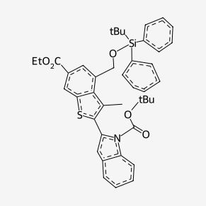 CCOC(=O)c1cc(CO[Si](c2ccccc2)(c2ccccc2)C(C)(C)C)c2c(C)c(-c3cc4ccccc4n3C(=O)OC(C)(C)C)sc2c1